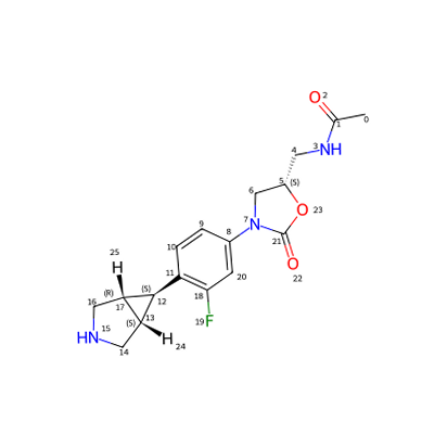 CC(=O)NC[C@H]1CN(c2ccc([C@H]3[C@@H]4CNC[C@@H]43)c(F)c2)C(=O)O1